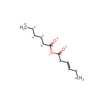 CC/C=C/CC(=O)OC(=O)CCCCC